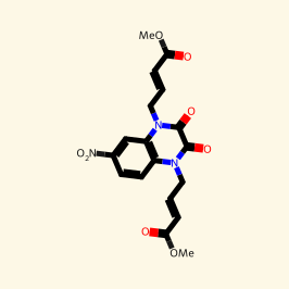 COC(=O)C=CCn1c(=O)c(=O)n(CC=CC(=O)OC)c2cc([N+](=O)[O-])ccc21